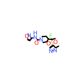 Cc1nn(C)cc1S(=O)(=O)C(C)(F)C1CCN(C(=O)Nc2ccon2)CC1